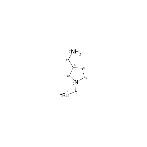 CC(C)(C)CN1CCC(CN)C1